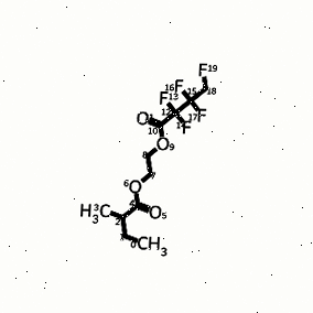 CCC(C)C(=O)OCCOC(=O)C(F)(F)C(F)(F)CF